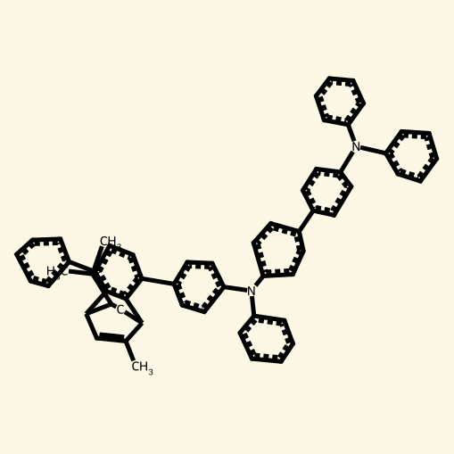 CC1=CC2c3c(-c4ccccc4)ccc(-c4ccc(N(c5ccccc5)c5ccc(-c6ccc(N(c7ccccc7)c7ccccc7)cc6)cc5)cc4)c3C1CC2C(C)C